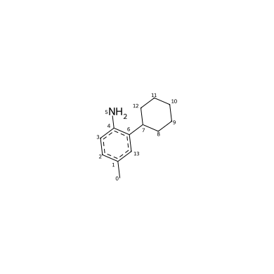 Cc1ccc(N)c(C2CCCCC2)c1